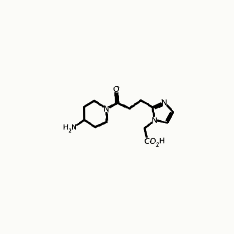 NC1CCN(C(=O)CCc2nccn2CC(=O)O)CC1